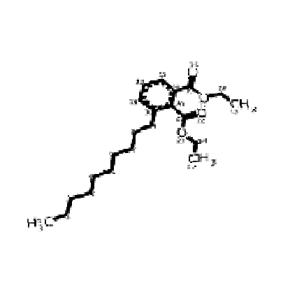 CCCCCCCCCCc1cccc(C(=O)OCC)c1C(=O)OCC